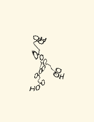 O=C(O)CCC(=O)OCC(COC(=O)CCC(=O)O)OC(=O)CCC(=O)O